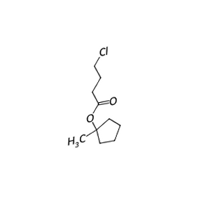 CC1(OC(=O)CCCCl)CCCC1